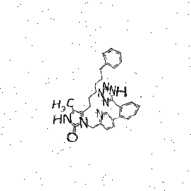 Cc1[nH]c(=O)n(Cc2ccc(-c3ccccc3-c3nnn[nH]3)cn2)c1CCCCCCc1ccccc1